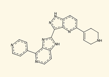 C1=C(c2ccc3[nH]nc(-c4nc5c(-c6ccncc6)nccc5[nH]4)c3n2)CCNC1